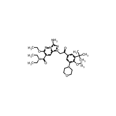 CCOc1nn2c(N)n[n+](CC(=O)c3cc(N4CCOCC4)c(OC)c(C(C)(C)C)c3)c2cc1C(=O)N(CC)CC